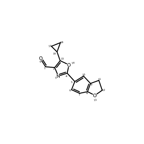 O=Cc1nc(-c2ccc3c(c2)CCO3)oc1C1CC1